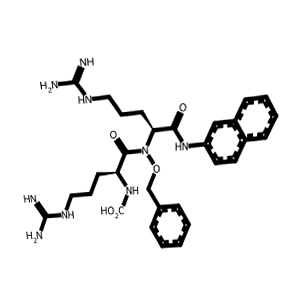 N=C(N)NCCC[C@H](NC(=O)O)C(=O)N(OCc1ccccc1)[C@@H](CCCNC(=N)N)C(=O)Nc1ccc2ccccc2c1